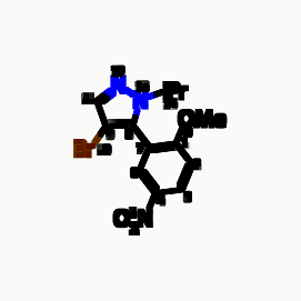 COc1ccc([N+](=O)[O-])cc1-c1c(Br)cnn1C(C)C